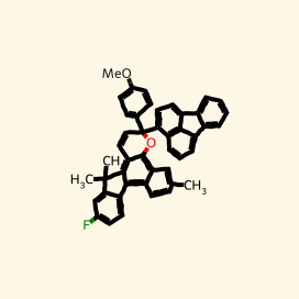 COc1ccc(C2(c3ccc4c5c(cccc35)-c3ccccc3-4)C=Cc3c4c(c5ccc(C)cc5c3O2)-c2ccc(F)cc2C4(C)C)cc1